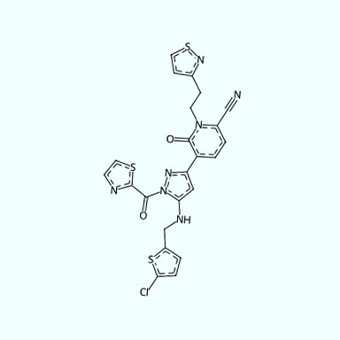 N#Cc1ccc(-c2cc(NCc3ccc(Cl)s3)n(C(=O)c3nccs3)n2)c(=O)n1CCc1ccsn1